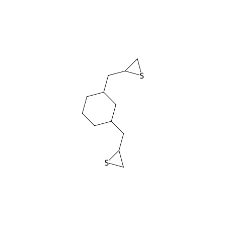 C1CC(CC2CS2)CC(CC2CS2)C1